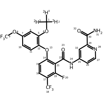 [2H]C([2H])([2H])Oc1cc(OC(F)(F)F)ccc1Oc1ccc(C(F)(F)F)c(F)c1C(=O)Nc1ccnc(C(N)=O)c1